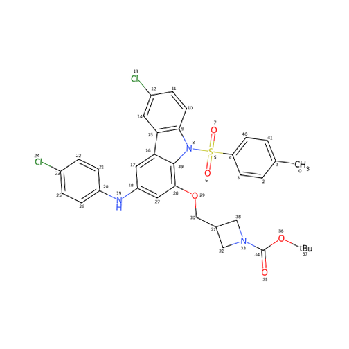 Cc1ccc(S(=O)(=O)n2c3ccc(Cl)cc3c3cc(Nc4ccc(Cl)cc4)cc(OCC4CN(C(=O)OC(C)(C)C)C4)c32)cc1